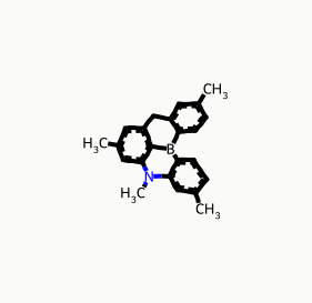 Cc1ccc2c(c1)Cc1cc(C)cc3c1B2c1ccc(C)cc1N3C